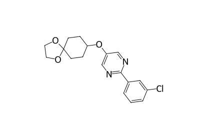 Clc1cccc(-c2ncc(OC3CCC4(CC3)OCCO4)cn2)c1